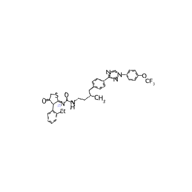 CCc1ccccc1C1C(=O)CS/C1=N\C(=O)NCCC(C)Cc1ccc(-c2ncn(-c3ccc(OC(F)(F)F)cc3)n2)cc1